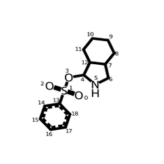 O=S(=O)(OC1NCC2CCCCC21)c1ccccc1